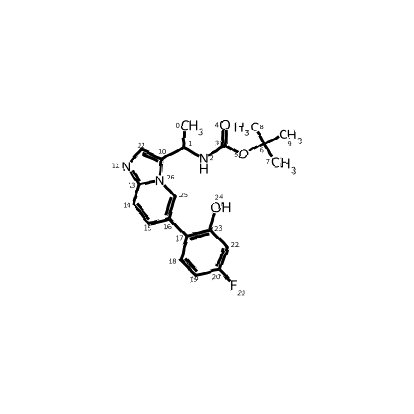 CC(NC(=O)OC(C)(C)C)c1cnc2ccc(-c3ccc(F)cc3O)cn12